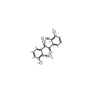 O=C(C(=O)c1cccc(Cl)c1[N+](=O)[O-])c1cccc(Cl)c1[N+](=O)[O-]